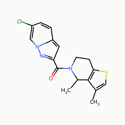 Cc1csc2c1C(C)N(C(=O)c1cc3ccc(Cl)cn3n1)CC2